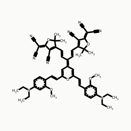 CCN(CC)c1ccc(/C=C/C2=CC(=C(/C=C/C3=C(C#N)C(=C(C#N)C#N)OC3(C)C)/C=C/C3=C(C#N)C(=C(C#N)C#N)OC3(C)C)C=C(/C=C/c3ccc(N(CC)CC)cc3OC)O2)c(OC)c1